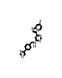 Fc1ccn2c(-c3cc(NCc4ccc(-c5cocn5)cc4)ncn3)cnc2c1